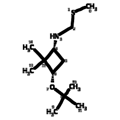 CSCN[C@@H]1C[C@H](OC(C)(C)C)C1(C)C